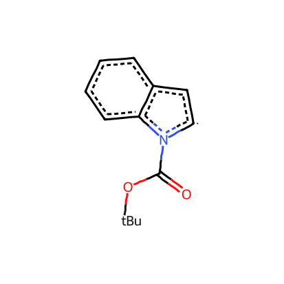 CC(C)(C)OC(=O)n1[c]cc2ccccc21